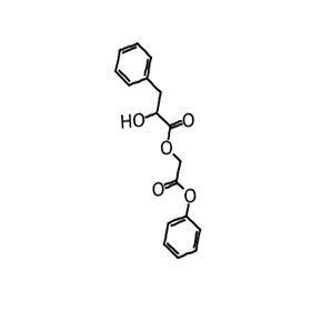 O=C(COC(=O)C(O)Cc1ccccc1)Oc1ccccc1